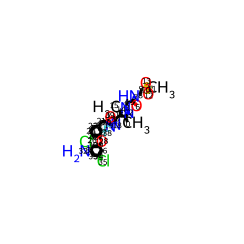 Cc1nn(CC(=O)NCCS(C)(=O)=O)c(C)c1-c1nnc(Cc2ccc(Cl)c(Oc3cc(N)cc(Cl)c3)c2F)o1